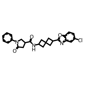 O=C(NC1CC2(C1)CC(c1nc3cc(Cl)ccc3o1)C2)C1CC(=O)N(c2ccccc2)C1